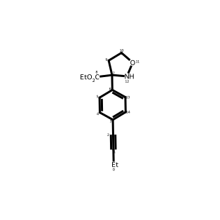 CCC#Cc1ccc(C2(C(=O)OCC)C[CH]ON2)cc1